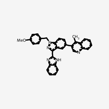 COc1ccc(Cn2nc(-c3nc4ccccc4[nH]3)c3cc(-c4cnc5ccccc5c4C)ccc32)cc1